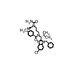 Cc1ccc(C(=O)N(CCCN(C#N)C(N)=O)[C@@H](c2nc3cc(Cl)ccc3n2Cc2ccccc2)C(C)C)cc1